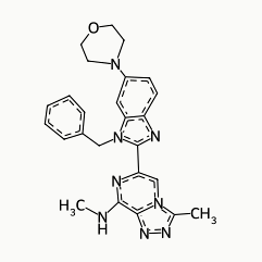 CNc1nc(-c2nc3ccc(N4CCOCC4)cc3n2Cc2ccccc2)cn2c(C)nnc12